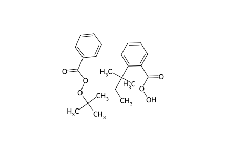 CC(C)(C)OOC(=O)c1ccccc1.CCC(C)(C)c1ccccc1C(=O)OO